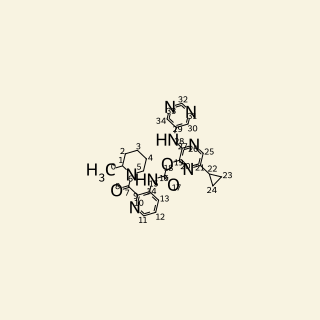 CC1CCCCN1C(=O)c1ncccc1NC(=O)Oc1nc(C2CC2)cnc1Nc1cncnc1